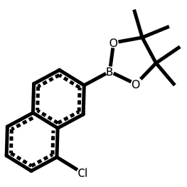 CC1(C)OB(c2ccc3cccc(Cl)c3c2)OC1(C)C